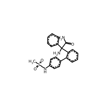 CS(=O)(=O)Nc1ccc(-c2ccccc2C(N)(C(N)=O)c2ccccc2)cc1